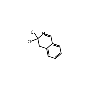 ClC1(Cl)Cc2ccccc2C=N1